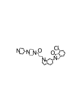 O=C(CCn1ccc2ccc(N3Cc4cccc(Cl)c4C3=O)cc21)N1CCN(c2ccncc2)CC1